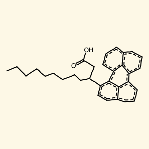 CCCCCCCCCC(CC(=O)O)c1ccc2cccc3c4cccc5cccc(c1c23)c54